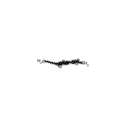 CCCCCCCCCCCCOc1ccc(C(=O)Oc2ccc(CC[C@H]3CC[C@H](OC(=O)[C@@H](F)CCCC)CC3)cc2)cc1Cl